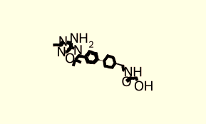 Cc1nc(N)c2c(n1)OC(C)(C)C(c1ccc([C@H]3CC[C@H](CCNC(=O)CO)CC3)cc1)=N2